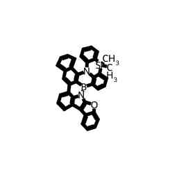 C[Si]1(C)c2ccccc2N2c3c(cccc31)B1c3c(cc4ccccc4c32)-c2cccc3c4c5ccccc5oc4n1c23